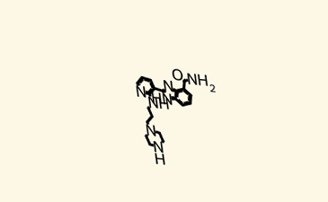 NC(=O)c1cccc2[nH]c(-c3cccnc3NCCCN3CCNCC3)nc12